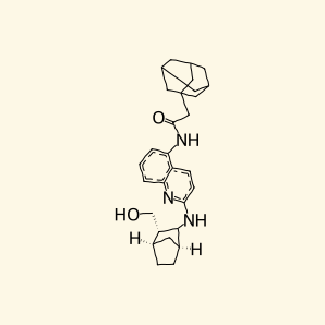 O=C(CC12CC3CC(CC(C3)C1)C2)Nc1cccc2nc(NC3[C@H]4CC[C@H](C4)[C@@H]3CO)ccc12